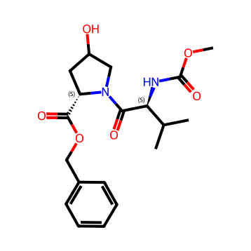 COC(=O)N[C@H](C(=O)N1CC(O)C[C@H]1C(=O)OCc1ccccc1)C(C)C